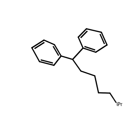 CC(C)CCCC[C](c1ccccc1)c1ccccc1